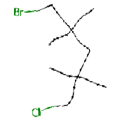 CC(C)(CCl)CC(C)(C)CBr